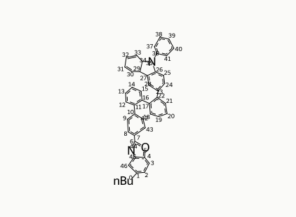 CCCCc1ccc2oc(-c3ccc(-c4ccccc4-c4ccccc4-c4ccc5c(c4)C4C=CC=CC4N5c4ccccc4)cc3)nc2c1